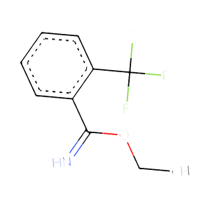 CCOC(=N)c1ccccc1C(F)(F)F